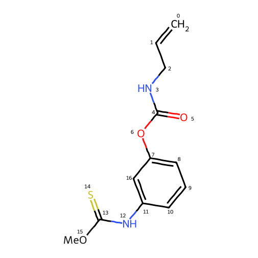 C=CCNC(=O)Oc1cccc(NC(=S)OC)c1